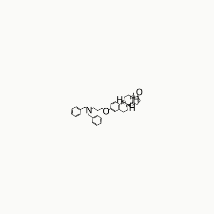 C[C@]12CC[C@@H]3c4ccc(OCCCN(Cc5ccccc5)Cc5ccccc5)cc4CC[C@H]3[C@@H]1CCC2=O